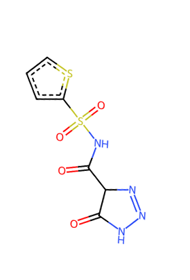 O=C1NN=NC1C(=O)NS(=O)(=O)c1cccs1